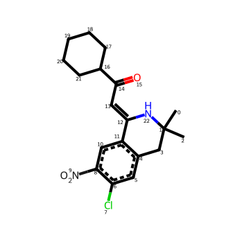 CC1(C)Cc2cc(Cl)c([N+](=O)[O-])cc2C(=CC(=O)C2CCCCC2)N1